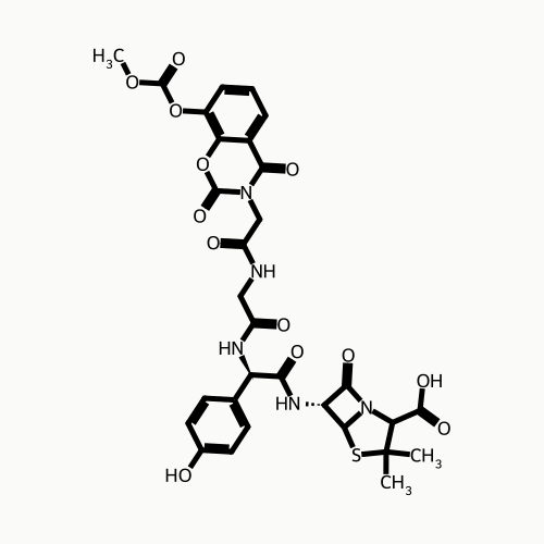 COC(=O)Oc1cccc2c(=O)n(CC(=O)NCC(=O)N[C@@H](C(=O)N[C@@H]3C(=O)N4C3SC(C)(C)C4C(=O)O)c3ccc(O)cc3)c(=O)oc12